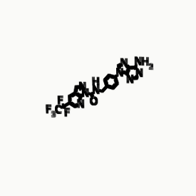 Nc1ncnc2c1ncn2-c1ccc(CNC(=O)n2ncc3cc(C(F)(F)C(F)(F)F)cnc32)cc1